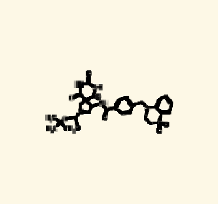 CC(C)(C)OC(=O)N1CC(NC(=O)c2ccc(CN3CCS(=O)(=O)c4ccccc43)cc2)C2(C1)C(=O)NC(=O)NC2=O